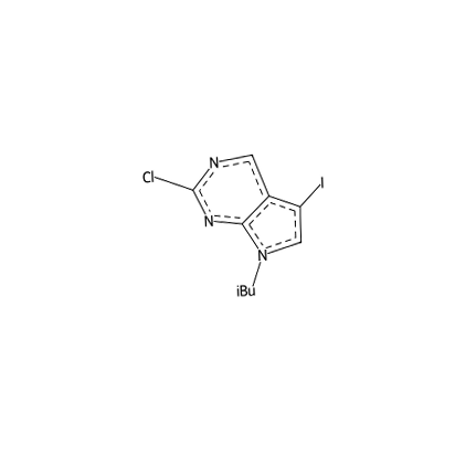 CCC(C)n1cc(I)c2cnc(Cl)nc21